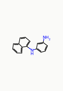 Nc1cccc(Nc2cccc3ccccc23)c1